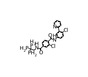 O=C(NCC(P)(P)P)c1ccc(C(=O)Nc2ccc(Cl)c(-c3ccccn3)c2)c(Cl)c1